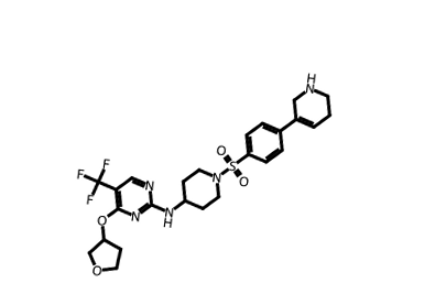 O=S(=O)(c1ccc(C2=CCCNC2)cc1)N1CCC(Nc2ncc(C(F)(F)F)c(OC3CCOC3)n2)CC1